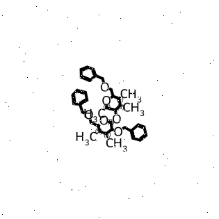 C[C@@H]1C(COCc2ccccc2)O[C@H](OC2[C@@H](C)[C@H](C)C(COCc3ccccc3)O[C@@H]2C)C(OCc2ccccc2)[C@H]1C